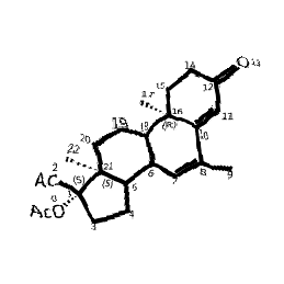 CC(=O)O[C@@]1(C(C)=O)CCC2C3C=C(C)C4=CC(=O)CC[C@]4(C)C3CC[C@@]21C